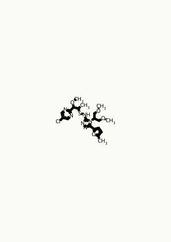 COCC(COC)n1c(NSC(C)C(OC)c2ncc(Cl)cn2)nnc1-c1ccc(C)o1